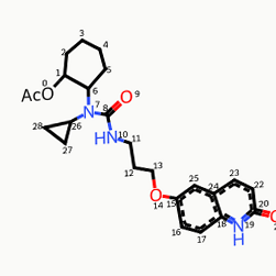 CC(=O)OC1CCCCC1N(C(=O)NCCCOc1ccc2[nH]c(=O)ccc2c1)C1CC1